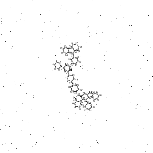 c1ccc(-c2nc(-c3ccc(-c4ccc(-c5nc6ccccc6c6c(-c7ccccc7)c7c(cc56)oc5ccccc57)cc4)cc3)nc(-c3cccc(-n4c5ccccc5c5ccccc54)c3)n2)cc1